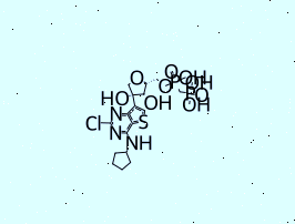 O=P(O)(O)CP(=O)(O)OC[C@H]1OC[C@](O)(c2csc3c(NC4CCCC4)nc(Cl)nc23)[C@@H]1O